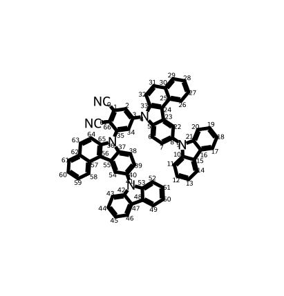 N#Cc1cc(-n2c3ccc(-n4c5ccccc5c5ccccc54)cc3c3c4ccccc4ccc32)cc(-n2c3ccc(-n4c5ccccc5c5ccccc54)cc3c3c4ccccc4ccc32)c1C#N